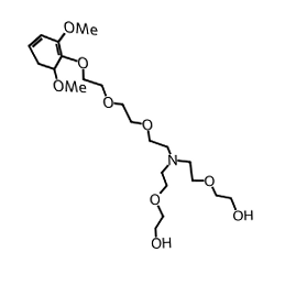 COC1=C(OCCOCCOCCN(CCOCCO)CCOCCO)C(OC)CC=C1